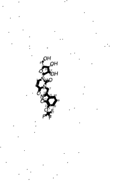 O=c1ccn([C@@H]2O[C@H](CO)[C@H](O)C2O)c(=O)n1Cc1noc2c(OC(F)(F)F)cccc12